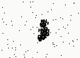 CCn1c(NC(=O)c2cnc(N)nc2)nc2c3c(ccc2c1=O)OCO3